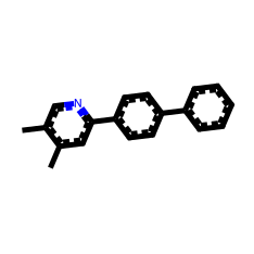 Cc1cnc(-c2ccc(-c3ccccc3)cc2)cc1C